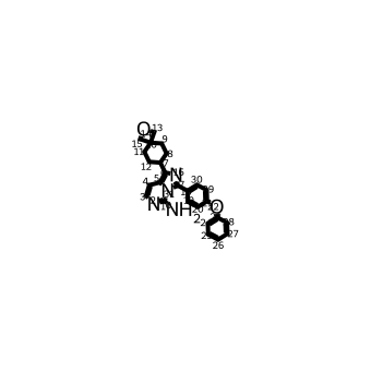 Nc1nccc2c(C3CCC4(CC3)COC4)nc(-c3ccc(Oc4ccccc4)cc3)n12